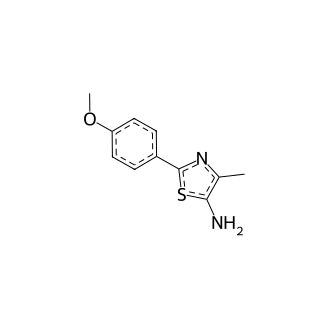 COc1ccc(-c2nc(C)c(N)s2)cc1